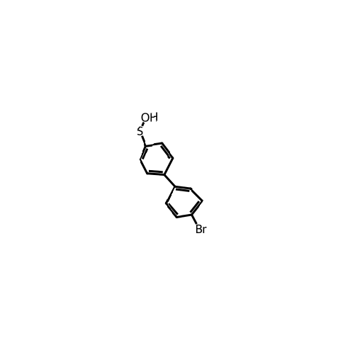 OSc1ccc(-c2ccc(Br)cc2)cc1